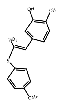 COc1ccc(SC(=Cc2ccc(O)c(O)c2)[N+](=O)[O-])cc1